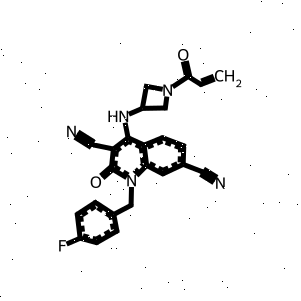 C=CC(=O)N1CC(Nc2c(C#N)c(=O)n(Cc3ccc(F)cc3)c3cc(C#N)ccc23)C1